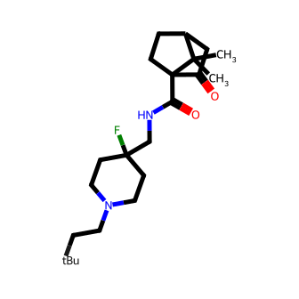 CC(C)(C)CCN1CCC(F)(CNC(=O)C23CCC(CC2=O)C3(C)C)CC1